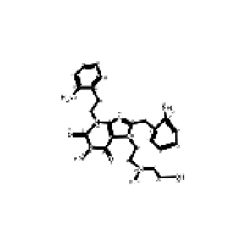 CCCn1c(=O)c2c(nc(Cc3ccccc3N)n2CCN(CC)CCO)n(CCc2ccccc2N)c1=O